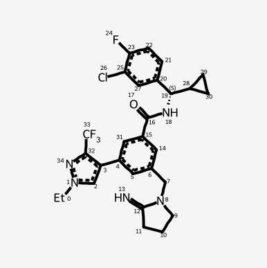 CCn1cc(-c2cc(CN3CCCC3=N)cc(C(=O)N[C@H](c3ccc(F)c(Cl)c3)C3CC3)c2)c(C(F)(F)F)n1